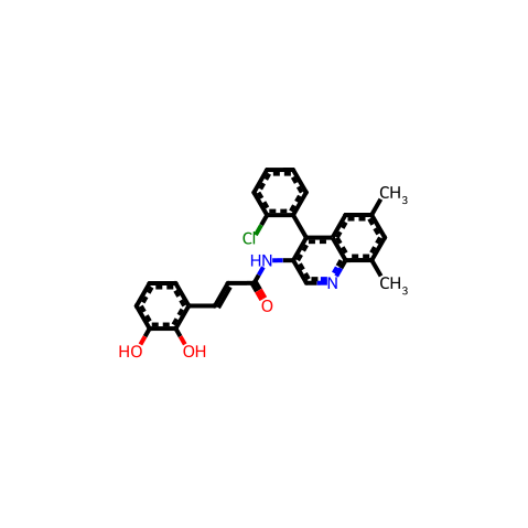 Cc1cc(C)c2ncc(NC(=O)C=Cc3cccc(O)c3O)c(-c3ccccc3Cl)c2c1